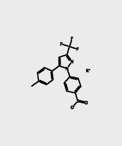 Cc1ccc(-c2cc(C(F)(F)F)nn2-c2ccc(S(=O)[O-])cc2)cc1.[K+]